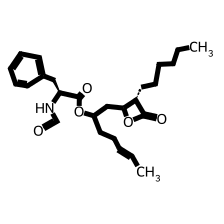 CC=CCCC(CC1OC(=O)[C@H]1CCCCCC)OC(=O)[C@H](Cc1ccccc1)NC=O